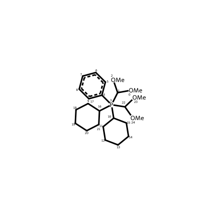 COC(OC)P(c1ccccc1)(C1CCCCC1)(C1CCCCC1)C(OC)OC